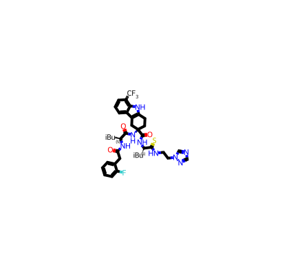 CCC(C)[C@H](NC(=O)Cc1ccccc1F)C(=O)N[C@]1(C(=O)NC(C(=S)NCCn2cncn2)[C@@H](C)CC)CCc2[nH]c3c(C(F)(F)F)cccc3c2C1